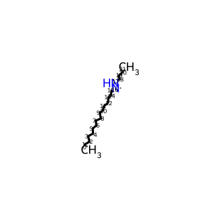 CCCCCCCCCCCCCCCC[N]NCCCC